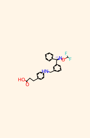 O=C(O)CCc1ccc(NCc2cccc(/C(=N\OC(F)F)c3ccccc3)c2)cc1